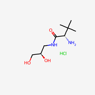 CC(C)(C)[C@H](N)C(=O)NC[C@@H](O)CO.Cl